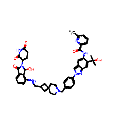 CC(C)(O)c1cc2nn(-c3ccc(CN4CCC5(CC4)CC(CNc4cccc6c4C(O)N(C4CCC(=O)NC4=O)C6=O)C5)cc3)cc2cc1NC(=O)c1cccc(C(F)(F)F)n1